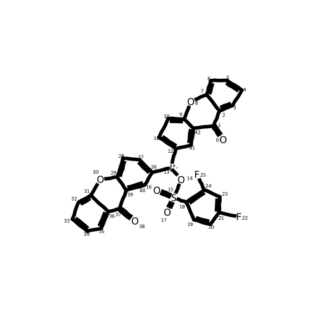 O=c1c2ccccc2oc2ccc([I+](OS(=O)(=O)c3ccc(F)cc3F)c3ccc4oc5ccccc5c(=O)c4c3)cc12